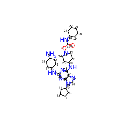 N[C@H]1CC[C@H](Nc2nc(NC3CCN(OC(=O)NC4CCCCC4)CC3)c3ncn(C4CCCC4)c3n2)CC1